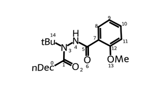 CCCCCCCCCCC(=O)N(NC(=O)c1ccccc1OC)C(C)(C)C